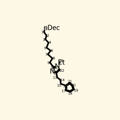 CCCCCCCCCCCCCCCCCCCc1nc(CCCc2ccccc2)cn1CC